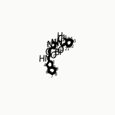 O=C(NC1Cc2ccccc2C1)Oc1n[nH]c(NC(=O)c2ccccc2Cl)c1Br